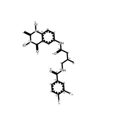 C=C1N(CC)C(=O)c2cc(NC(=O)CC(C)CNC(=O)c3ccc(F)c(F)c3)ccc2N1CC